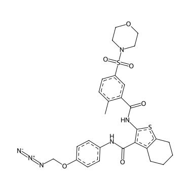 Cc1ccc(S(=O)(=O)N2CCOCC2)cc1C(=O)Nc1sc2c(c1C(=O)Nc1ccc(OCN=[N+]=[N-])cc1)CCCC2